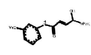 CCCCCC(O)C=CC(=O)Nc1cccc(OC)c1